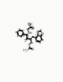 CC(=O)SCC(Cc1cccc2c1OCO2)C(=O)C(NCC(=O)O)c1ccccc1